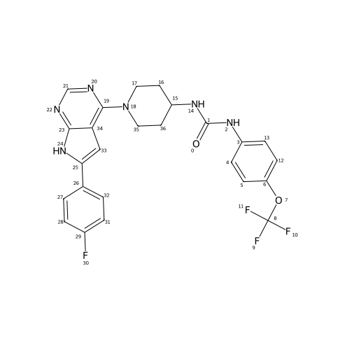 O=C(Nc1ccc(OC(F)(F)F)cc1)NC1CCN(c2ncnc3[nH]c(-c4ccc(F)cc4)cc23)CC1